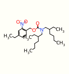 CCCCC(CC)CN(CC(CC)CCCC)C(=O)OCc1ccc(CC)cc1[N+](=O)[O-]